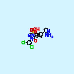 CC1(Cc2ccc(-c3cccnc3N)cc2)C(=O)N(c2cc(Cl)cc(Cl)c2)c2ncc(S(=O)(=O)O)n21